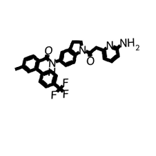 Cc1ccc(C(=O)Nc2ccc3c(c2)CCN3C(=O)Cc2cccc(N)n2)c(-c2ccc(C(F)(F)F)cc2)c1